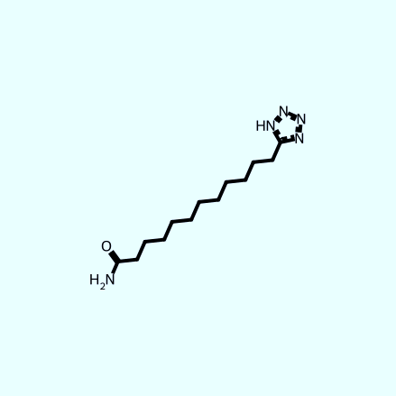 NC(=O)CCCCCCCCCCCc1nnn[nH]1